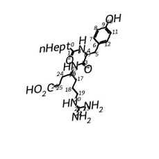 CCCCCCCC(=O)N[C@@H](Cc1ccc(O)cc1)C(=O)N[C@@H](CCCNC(N)N)CCC(=O)O